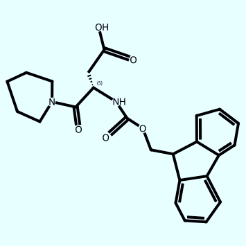 O=C(O)C[C@H](NC(=O)OCC1c2ccccc2-c2ccccc21)C(=O)N1CCCCC1